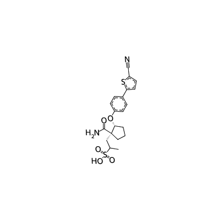 CC(C[C@@]1(C(N)=O)CCC[C@H]1Oc1ccc(-c2ccc(C#N)s2)cc1)S(=O)(=O)O